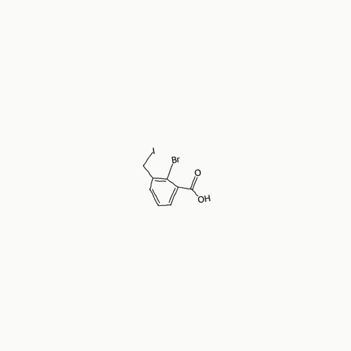 O=C(O)c1cccc(CI)c1Br